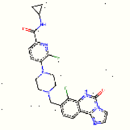 O=C(NC1CC1)c1ccc(N2CCN(Cc3ccc4c([nH]c(=O)n5ccnc45)c3F)CC2)c(F)n1